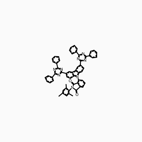 Cc1cc(C)c(N2C(=O)c3cccc(-n4c5ccc(-c6nc(-c7ccccc7)nc(-c7ccccc7)n6)cc5c5cc(-c6nc(-c7ccccc7)nc(-c7ccccc7)n6)ccc54)c3C2=O)c(C)c1